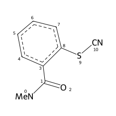 CNC(=O)c1ccccc1SC#N